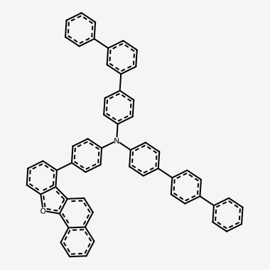 c1ccc(-c2ccc(-c3ccc(N(c4ccc(-c5cccc(-c6ccccc6)c5)cc4)c4ccc(-c5cccc6oc7c8ccccc8ccc7c56)cc4)cc3)cc2)cc1